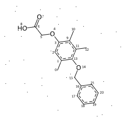 Cc1cc(OCC(=O)O)c(C)c(C)c1OCc1ccccc1